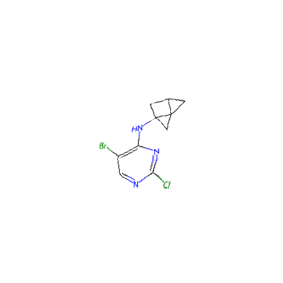 Clc1ncc(Br)c(NC23CC4CC42C3)n1